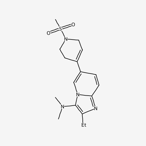 CCc1nc2ccc(C3=CCN(S(C)(=O)=O)CC3)cn2c1N(C)C